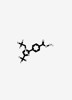 COC(=O)c1ccc(-c2nc(C(F)(F)F)cn2CC(F)(F)F)cc1